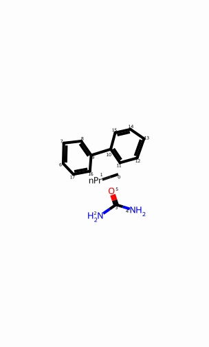 CCCC.NC(N)=O.c1ccc(-c2ccccc2)cc1